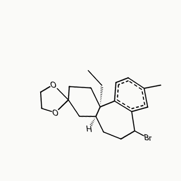 CC[C@@]12CCC3(C[C@@H]1CCC(Br)c1cc(C)ccc12)OCCO3